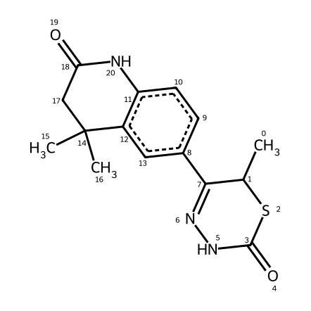 CC1SC(=O)NN=C1c1ccc2c(c1)C(C)(C)CC(=O)N2